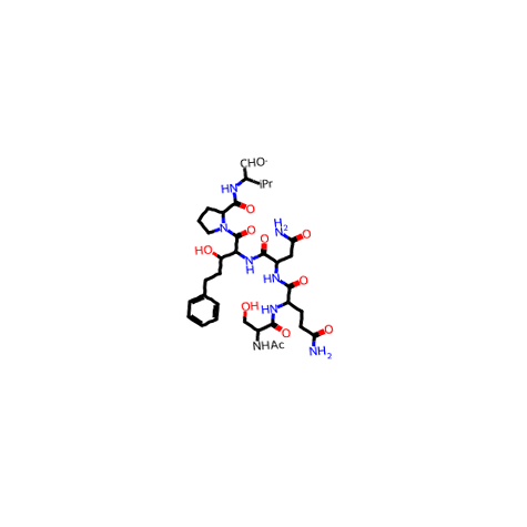 CC(=O)NC(CO)C(=O)NC(CCC(N)=O)C(=O)NC(CC(N)=O)C(=O)NC(C(=O)N1CCCC1C(=O)NC([C]=O)C(C)C)C(O)CCc1ccccc1